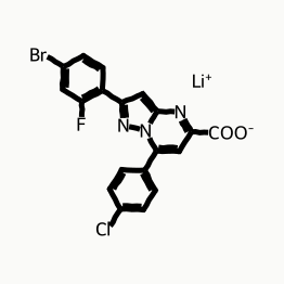 O=C([O-])c1cc(-c2ccc(Cl)cc2)n2nc(-c3ccc(Br)cc3F)cc2n1.[Li+]